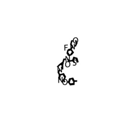 Cc1ccc(Oc2ccc(CN3CC4C(C3)C4CN(C(=O)c3cccs3)c3ccc(N4CCOCC4)c(F)c3)cn2)cc1